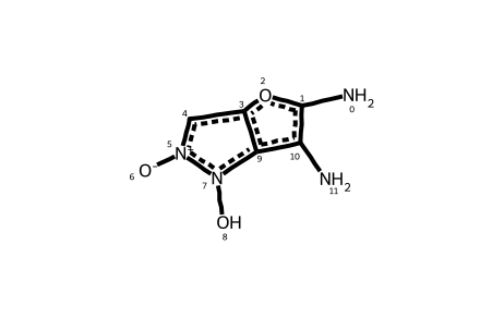 Nc1oc2c[n+]([O-])n(O)c2c1N